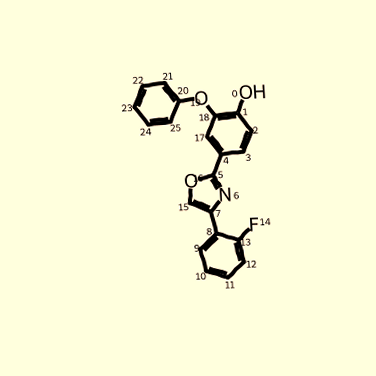 Oc1ccc(-c2nc(-c3ccccc3F)co2)cc1Oc1ccccc1